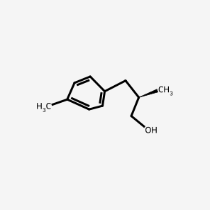 Cc1ccc(C[C@@H](C)CO)cc1